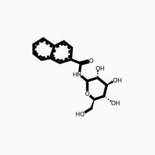 O=C(NC1O[C@H](CO)[C@@H](O)[C@H](O)[C@H]1O)c1ccc2ccccc2c1